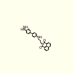 NNc1ccc(-c2ccc(NCCCN3C(=O)c4cccc5cccc(c45)C3=O)cc2)cc1